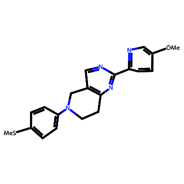 COc1ccc(-c2ncc3c(n2)CCN(c2ccc(SC)cc2)C3)nc1